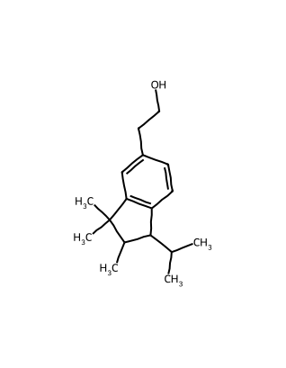 CC(C)C1c2ccc(CCO)cc2C(C)(C)C1C